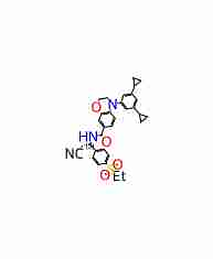 CCS(=O)(=O)c1ccc([C@H](CC#N)NC(=O)c2ccc3c(c2)OCCN3c2cc(C3CC3)cc(C3CC3)c2)cc1